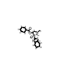 CN1CC(OC(=O)c2ccccc2)[N+]([O-])(c2nc3ccccc3s2)C1